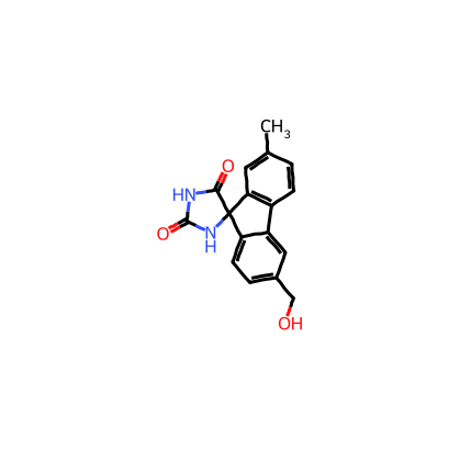 Cc1ccc2c(c1)C1(NC(=O)NC1=O)c1ccc(CO)cc1-2